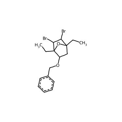 CCC12CC(OCc3ccccc3)C(CC)(O1)C(Br)C2Br